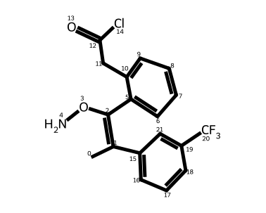 C/C(=C(\ON)c1ccccc1CC(=O)Cl)c1cccc(C(F)(F)F)c1